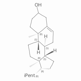 CCC[C@@H](C)[C@H]1CC[C@H]2[C@@H]3CC=C4CC(O)CC[C@]4(C)[C@H]3CC[C@]12C